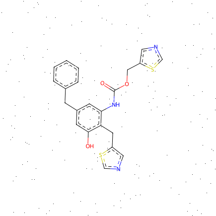 O=C(Nc1cc(Cc2ccccc2)cc(O)c1Cc1cncs1)OCc1cncs1